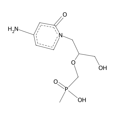 CP(=O)(O)COC(CO)Cn1ccc(N)cc1=O